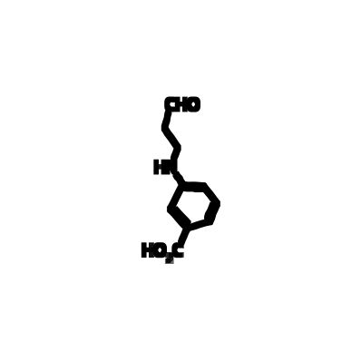 O=CCCNc1cccc(C(=O)O)c1